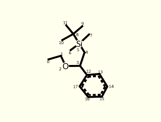 CCOC(C[Si](C)(C)C(C)(C)C)c1ccccc1